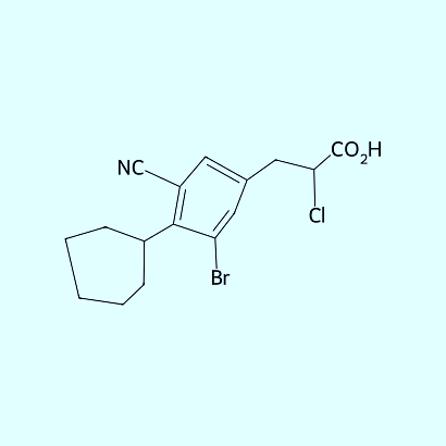 N#Cc1cc(CC(Cl)C(=O)O)cc(Br)c1C1CCCCC1